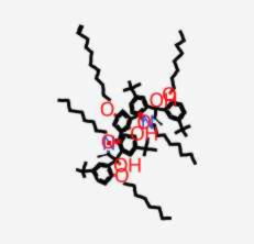 C=CCCCCCCCCCOc1cc(C=N[C@H](C)C(O)(c2cc(C(C)(C)C)ccc2OCCCCCCCC)c2cc(C(C)(C)C)ccc2OCCCCCCCC)c(O)c(C=N[C@H](C)C(O)(c2cc(C(C)(C)C)ccc2OCCCCCCCC)c2cc(C(C)(C)C)ccc2OCCCCCCCC)c1